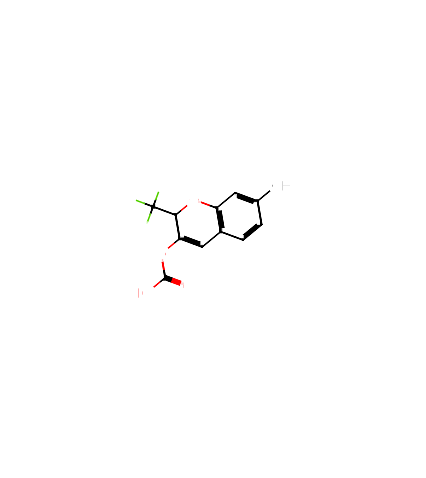 Cc1ccc2c(c1)OC(C(F)(F)F)C(OC(=O)O)=C2